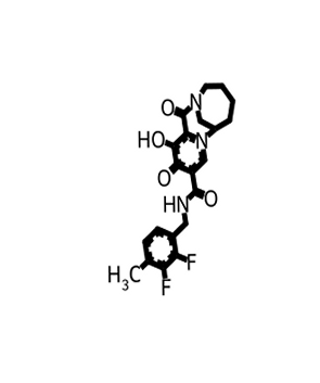 Cc1ccc(CNC(=O)c2cn3c(c(O)c2=O)C(=O)N2CCCCC3C2)c(F)c1F